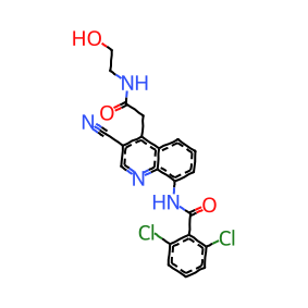 N#Cc1cnc2c(NC(=O)c3c(Cl)cccc3Cl)cccc2c1CC(=O)NCCO